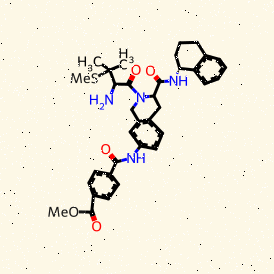 COC(=O)c1ccc(C(=O)Nc2ccc3c(c2)CN(C(=O)C(N)C(C)(C)SC)C(C(=O)N[C@@H]2CCCc4ccccc42)C3)cc1